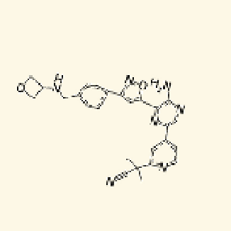 CC(C)(C#N)c1cc(-c2cnc(N)c(-c3cc(-c4ccc(CNC5COC5)cc4)no3)n2)ccn1